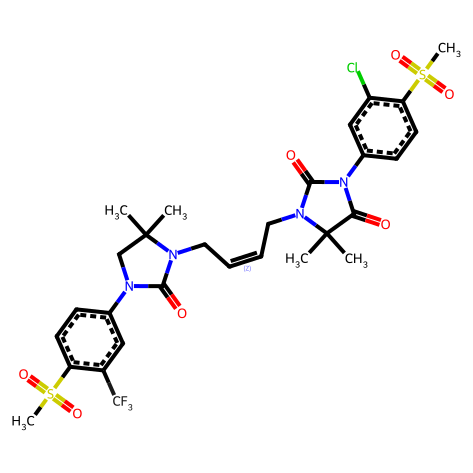 CC1(C)CN(c2ccc(S(C)(=O)=O)c(C(F)(F)F)c2)C(=O)N1C/C=C\CN1C(=O)N(c2ccc(S(C)(=O)=O)c(Cl)c2)C(=O)C1(C)C